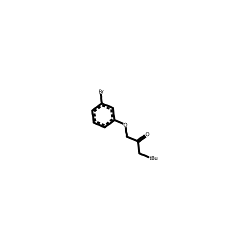 CC(C)(C)CC(=O)COc1cccc(Br)c1